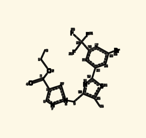 CCOC(=O)c1cnn(Cc2nc(-c3cc(Br)cc(C(F)(F)F)c3)sc2C)c1